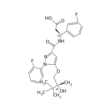 CC(C)(C)[C@@](C)(O)COc1cc(C(=O)N[C@@H](CC(=O)O)c2cccc(F)c2)nn1-c1ccccc1F